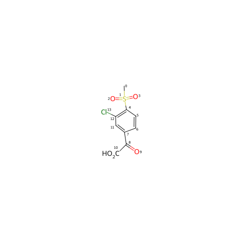 CS(=O)(=O)c1ccc(C(=O)C(=O)O)cc1Cl